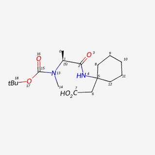 C[C@@H](C(=O)NC1(CC(=O)O)CCCCC1)N(C)C(=O)OC(C)(C)C